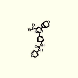 CCN(CC)c1cc(N2C3CCC2COC3)nc(-c2ccc(NC(=O)Nc3ccncc3)cc2)n1